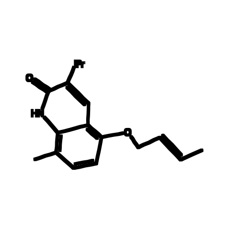 C/C=C/COc1ccc(C)c2[nH]c(=O)c(C(C)C)cc12